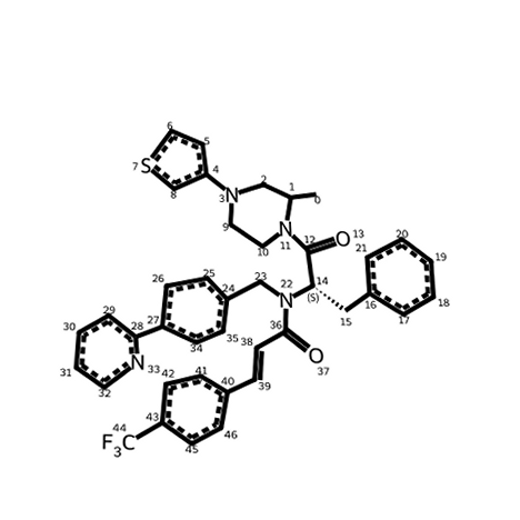 CC1CN(c2ccsc2)CCN1C(=O)[C@H](Cc1ccccc1)N(Cc1ccc(-c2ccccn2)cc1)C(=O)C=Cc1ccc(C(F)(F)F)cc1